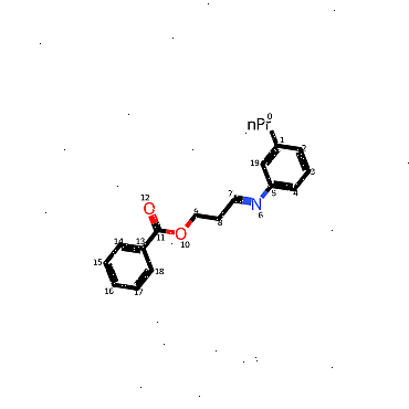 CCCc1cccc(N=CCCOC(=O)c2ccccc2)c1